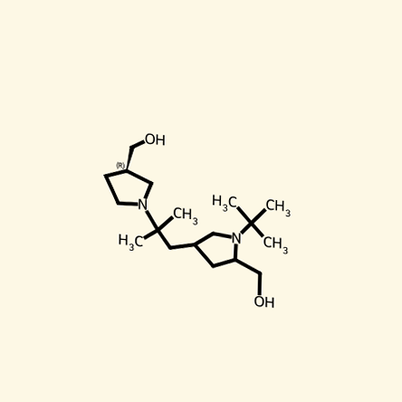 CC(C)(C)N1CC(CC(C)(C)N2CC[C@@H](CO)C2)CC1CO